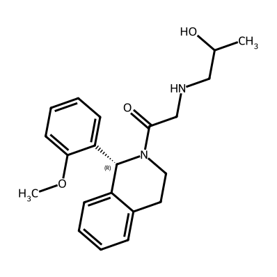 COc1ccccc1[C@H]1c2ccccc2CCN1C(=O)CNCC(C)O